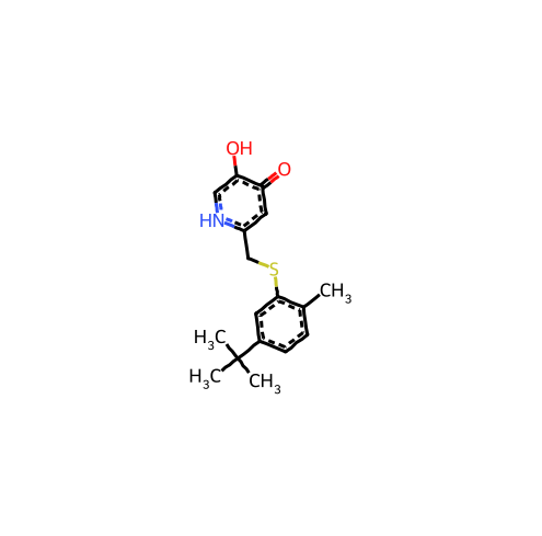 Cc1ccc(C(C)(C)C)cc1SCc1cc(=O)c(O)c[nH]1